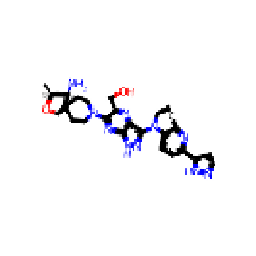 C[C@@H]1OCC2(CCN(c3nc4[nH]nc(N5CCCc6nc(-c7ccn[nH]7)ccc65)c4nc3CO)CC2)[C@@H]1N